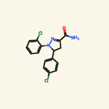 NC(=O)C1=NN(c2ccccc2Cl)C(c2ccc(Cl)cc2)C1